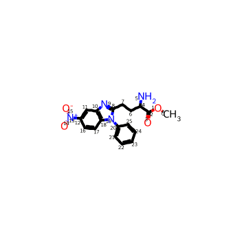 COC(=O)C(N)CCc1nc2cc([N+](=O)[O-])ccc2n1-c1ccccc1